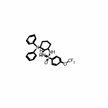 N=S(=O)(NC1CCCC(N(c2ccccc2)c2ccccc2)C1O)c1ccc(OC(F)(F)F)cc1